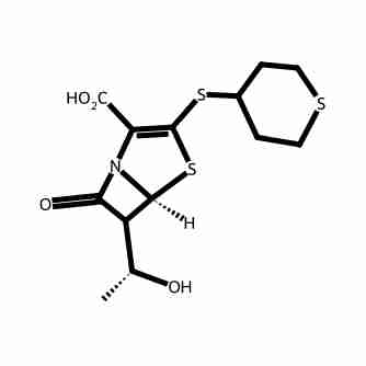 C[C@@H](O)C1C(=O)N2C(C(=O)O)=C(SC3CCSCC3)S[C@@H]12